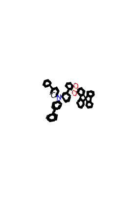 c1ccc(-c2ccc(N(c3ccc(-c4ccccc4)cc3)c3cccc(-c4cccc5c4Oc4c(ccc6c4-c4ccccc4C64c6ccccc6-c6ccccc64)O5)c3)cc2)cc1